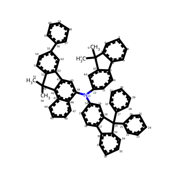 CC1(C)c2ccccc2-c2ccc(N(c3ccc4c(c3)C(c3ccccc3)(c3ccccc3)c3ccccc3-4)c3cc4c(c5ccccc35)C(C)(C)c3ccc(-c5ccccc5)cc3-4)cc21